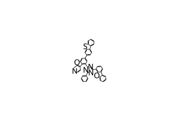 c1ccc(-c2nc(-c3cccc4c3oc3ccccc34)nc(-c3cc(-c4ccc5c(c4)sc4ccccc45)cc4oc5cnccc5c34)n2)cc1